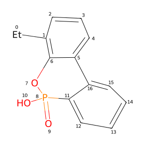 CCc1cccc2c1OP(=O)(O)c1ccccc1-2